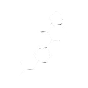 CC(C)Cc1ccc(C(C)C(=O)N2CCSC2=O)cc1